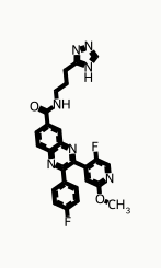 COc1cc(-c2nc3cc(C(=O)NCCCc4nnc[nH]4)ccc3nc2-c2ccc(F)cc2)c(F)cn1